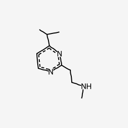 CNCCc1nccc(C(C)C)n1